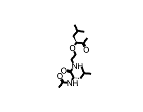 CC(=O)N[C@@H](CC(C)C)C(=O)NCCO[C@@H](CC(C)C)C(C)=O